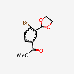 COC(=O)c1ccc(Br)c(C2OCCO2)c1